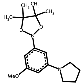 COc1cc(B2OC(C)(C)C(C)(C)O2)cc(N2CCCC2)c1